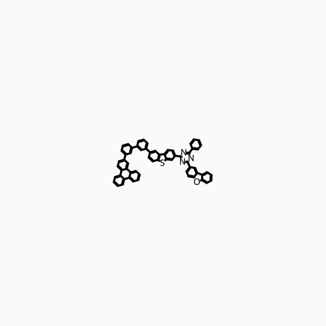 c1ccc(-c2nc(-c3ccc4c(c3)sc3ccc(-c5cccc(-c6cccc(-c7ccc8c9ccccc9c9ccccc9c8c7)c6)c5)cc34)nc(-c3ccc4oc5ccccc5c4c3)n2)cc1